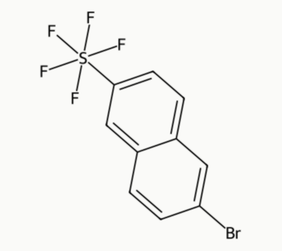 FS(F)(F)(F)(F)c1ccc2cc(Br)ccc2c1